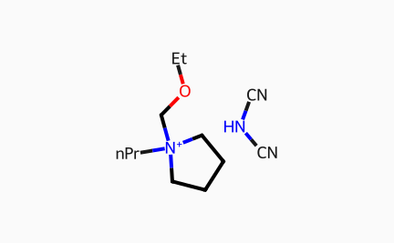 CCC[N+]1(COCC)CCCC1.N#CNC#N